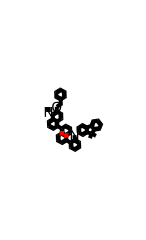 C=Nc1c(OCc2ccccc2)ccc2c(-c3ccc(N(c4ccc5c(c4)C(C)(C)c4ccccc4-5)c4ccccc4-c4ccccc4)cc3)cccc12